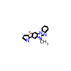 Cn1c2cc3c(cc2n2c4ccccc4nc12)sc1cccnc13